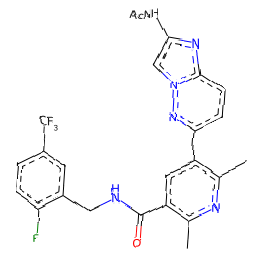 CC(=O)Nc1cn2nc(-c3cc(C(=O)NCc4cc(C(F)(F)F)ccc4F)c(C)nc3C)ccc2n1